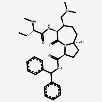 CC[C@H](NC)C(=O)N[C@@H]1C(=O)N2[C@@H](CC[C@@H]1CN(C)C)CC[C@H]2C(=O)NC(c1ccccc1)c1ccccc1